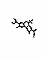 C=C/C(=C\C)c1cc2c(cc1C)C1=CC(=C)C(C(=C)C#N)=CN1C(C(C)(C)C)C2